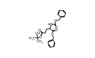 CC(C)(C)OC(=O)CCC(NC(=O)OCc1ccccc1)C(=O)OCc1ccccc1